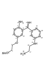 COCCOc1ccc(N)c(C(=N)c2cc(NCCN)ncn2)c1